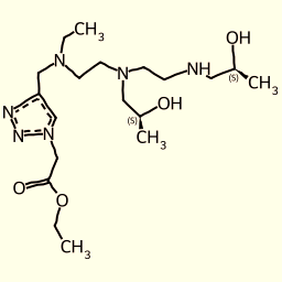 CCOC(=O)Cn1cc(CN(CC)CCN(CCNC[C@H](C)O)C[C@H](C)O)nn1